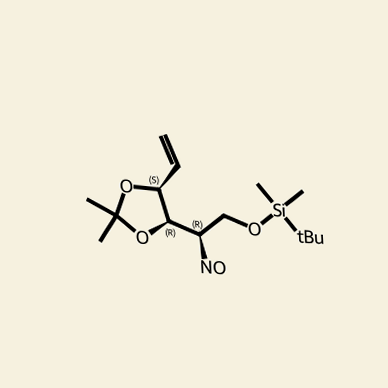 C=C[C@@H]1OC(C)(C)O[C@@H]1[C@@H](CO[Si](C)(C)C(C)(C)C)N=O